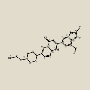 CCc1cc(C2=CC(=O)N3C=C(C4CCN(CCO)CC4)C=CC3P2)cn2cc(C)nc12